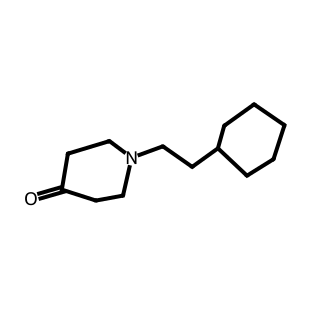 O=C1CCN(CCC2CCCCC2)CC1